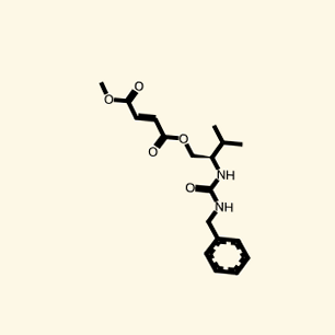 COC(=O)/C=C/C(=O)OC[C@H](NC(=O)NCc1ccccc1)C(C)C